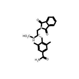 Cc1cc(C(N)=O)cc(C)c1C[C@@H](CN1C(=O)c2ccccc2C1=O)NC(=O)O